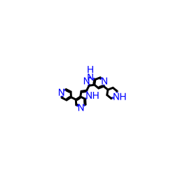 c1cc(-c2cncc3[nH]c(-c4n[nH]c5cnc(C6CCNCC6)cc45)cc23)ccn1